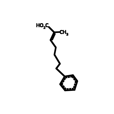 CC(=CCCCCc1ccccc1)C(=O)O